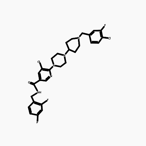 O=C(NCc1ccc(F)cc1F)c1cnc(N2CCN(C3CCN(Cc4ccc(Cl)c(F)c4)CC3)CC2)c(Cl)c1